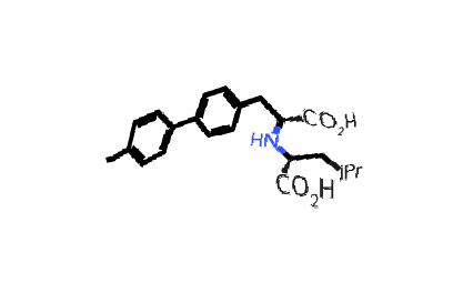 Cc1ccc(-c2ccc(C[C@H](N[C@@H](CC(C)C)C(=O)O)C(=O)O)cc2)cc1